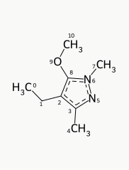 CCc1c(C)nn(C)c1OC